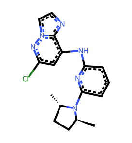 C[C@H]1CC[C@H](C)N1c1cccc(Nc2cc(Cl)nn3ccnc23)n1